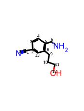 N#Cc1ccc(CN)c(CCCO)c1